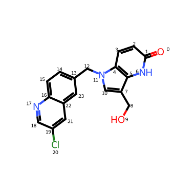 O=c1ccc2c([nH]1)c(CO)cn2Cc1ccc2ncc(Cl)cc2c1